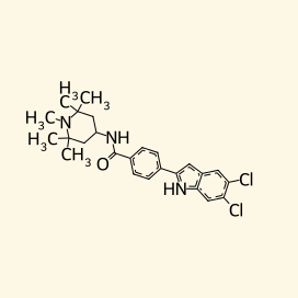 CN1C(C)(C)CC(NC(=O)c2ccc(-c3cc4cc(Cl)c(Cl)cc4[nH]3)cc2)CC1(C)C